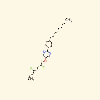 CCCCCCCCCc1ccc(-c2ncc(OCC(F)CCC(F)CCC)cn2)cc1